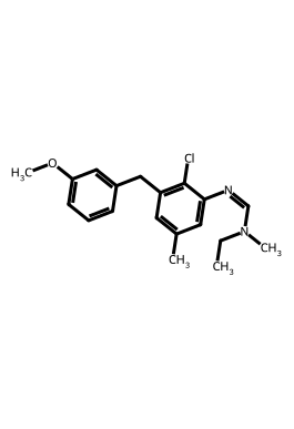 CCN(C)/C=N\c1cc(C)cc(Cc2cccc(OC)c2)c1Cl